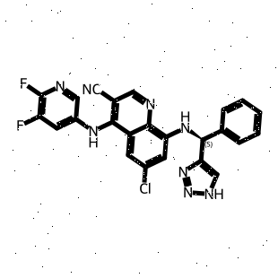 N#Cc1cnc2c(N[C@@H](c3ccccc3)c3c[nH]nn3)cc(Cl)cc2c1Nc1cnc(F)c(F)c1